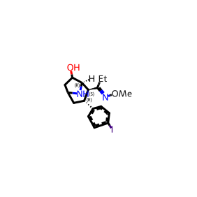 CCC(=NOC)[C@H]1[C@H](c2ccc(I)cc2)CC2CC(O)[C@@H]1N2